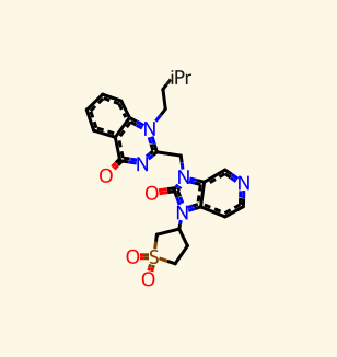 CC(C)CCn1c(Cn2c(=O)n(C3CCS(=O)(=O)C3)c3ccncc32)nc(=O)c2ccccc21